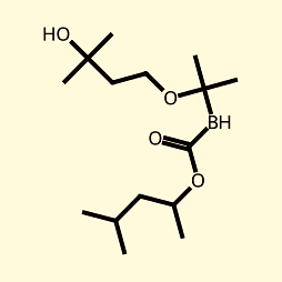 CC(C)CC(C)OC(=O)BC(C)(C)OCCC(C)(C)O